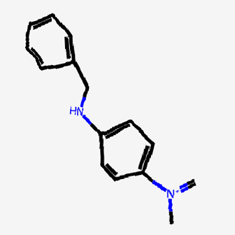 C=[N+](C)c1ccc(NCc2ccccc2)cc1